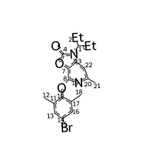 CCC(CC)n1c(=O)oc2c(Oc3c(C)cc(Br)cc3C)nc(C)cc21